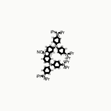 CC(C)N(c1ccc(N(c2ccc(N(C(C)C)C(C)C)cc2)c2ccc3c(c2)c2cc(N(c4ccc(N(C(C)C)C(C)C)cc4)c4ccc(N(C(C)C)C(C)C)cc4)ccc2n3C#N)cc1)C(C)C